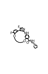 O=C(NCCN1CCCC1)c1ccc2cc1OCCCCCCOc1cc(ccc1F)-c1nc(ncc1F)N2